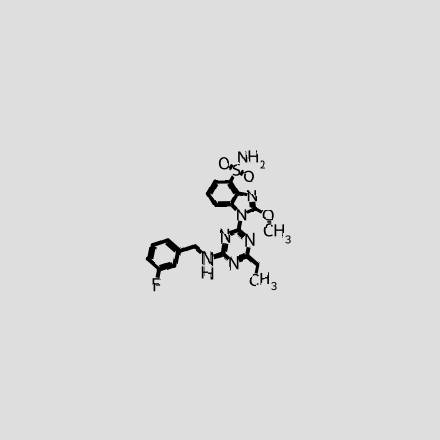 CCc1nc(NCc2cccc(F)c2)nc(-n2c(OC)nc3c(S(N)(=O)=O)cccc32)n1